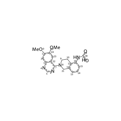 COc1cc2ncnc(N3CCc4c(cccc4N[SH](=O)=O)C3)c2cc1OC